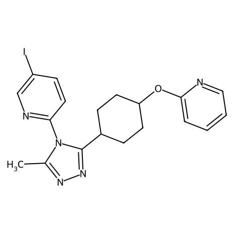 Cc1nnc(C2CCC(Oc3ccccn3)CC2)n1-c1ccc(I)cn1